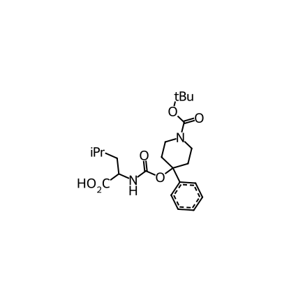 CC(C)CC(NC(=O)OC1(c2ccccc2)CCN(C(=O)OC(C)(C)C)CC1)C(=O)O